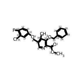 COC(=O)c1ncc(COc2ccc(F)c(Cl)c2)c(C)c1OCc1ccccc1